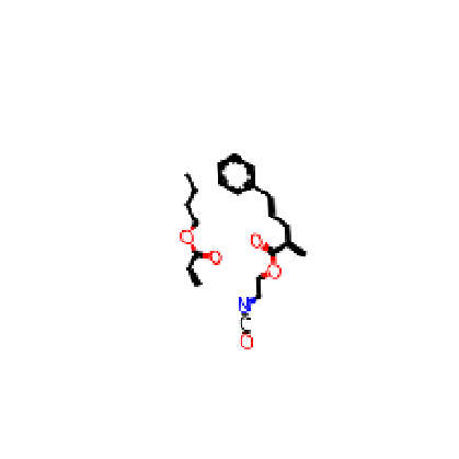 C=C(CC=Cc1ccccc1)C(=O)OCCN=C=O.C=CC(=O)OCCCC